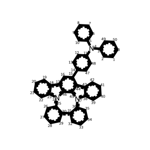 c1ccc(N(c2ccccc2)c2ccc(-c3cc4c5ccccc5n5c6ccccc6c6ccccc6n6c7ccccc7c3c6c45)cc2)cc1